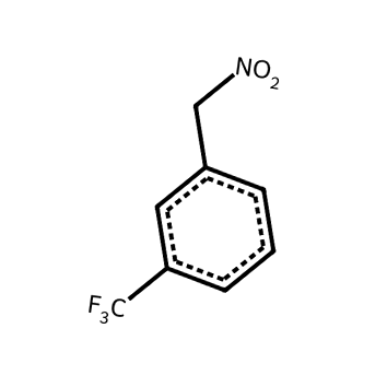 O=[N+]([O-])Cc1cccc(C(F)(F)F)c1